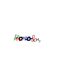 COC(=O)c1ccc(CNc2ccc(OC(F)(F)F)cc2)cc1